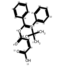 CC(C)(C)[Si](=C(OC(=O)/C=C\C(=O)O)c1ccccc1)c1ccccc1